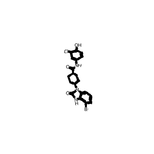 O=C(Nc1ccc(O)c(Cl)c1)C1CCC(n2c(=O)[nH]c3c(Br)cccc32)CC1